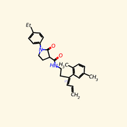 C=C/C=C(/CCNC(=O)C1CCN(c2ccc(CC)cc2)C1=O)c1cc(C)ccc1C